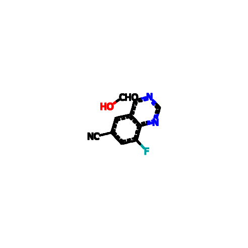 N#Cc1cc(F)c2ncncc2c1.O=CO